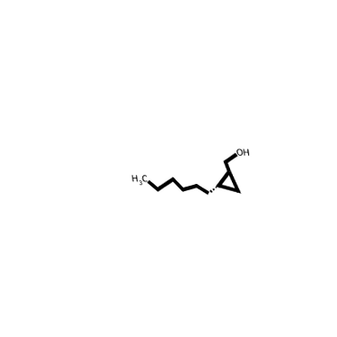 CCCCCC[C@H]1CC1CO